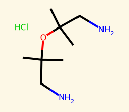 CC(C)(CN)OC(C)(C)CN.Cl